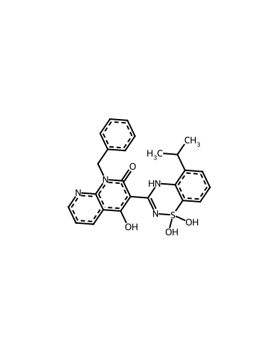 CC(C)c1cccc2c1NC(c1c(O)c3cccnc3n(Cc3ccccc3)c1=O)=NS2(O)O